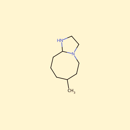 CC1CCCC2NCCN2CC1